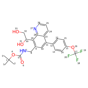 CC(C)(C)OC(=O)NCc1cc(-c2ccc(OC(F)(F)F)cc2)c2cccnc2c1C(O)CO